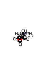 C/C=C(/C(C)C)[C@H]1NC(=O)C[C@@H](c2cccc(Cl)c2)[C@]12C(=O)Nc1cc(Cl)ccc12